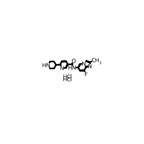 Cc1cn2cc(NC(=O)c3ccc(C4CCNCC4)nc3)cc(F)c2n1.Cl.Cl